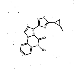 CCC(C)n1c(=O)c2c(-c3noc(C4CC4C)n3)ncn2c2ccccc21